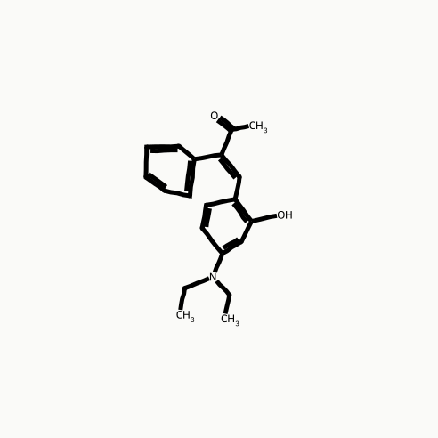 CCN(CC)c1ccc(/C=C(/C(C)=O)c2ccccc2)c(O)c1